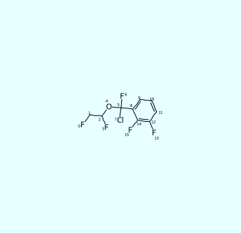 FCC(F)OC(F)(Cl)c1cccc(F)c1F